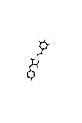 CCCC1CN(CC(=O)c2cc(C(C)(C)C)c(O)c(C(C)(C)C)c2)C(=N)/C1=C/c1ccc(OC(C)C)cc1